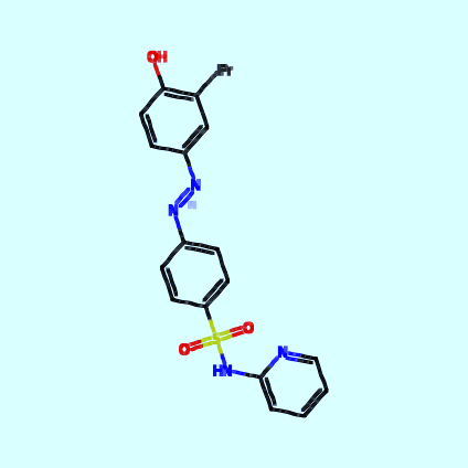 CC(C)c1cc(/N=N/c2ccc(S(=O)(=O)Nc3ccccn3)cc2)ccc1O